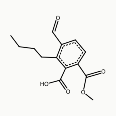 CCCCc1c(C=O)ccc(C(=O)OC)c1C(=O)O